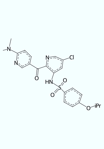 CC(C)Oc1ccc(S(=O)(=O)Nc2cc(Cl)cnc2C(=O)c2ccc(N(C)C)nc2)cc1